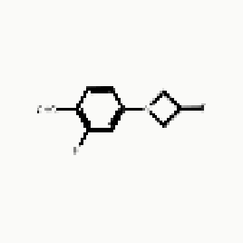 O=Cc1ccc(N2CC(F)C2)cc1F